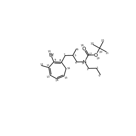 CCCN(CC(C)CC1=C(Br)C(C)=CC=CC1)C(=O)OC(C)(C)C